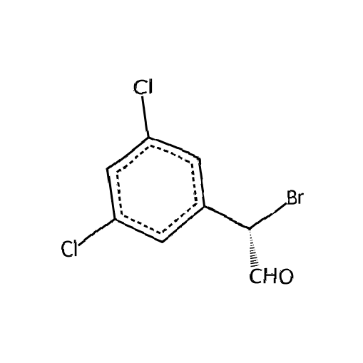 O=C[C@@H](Br)c1cc(Cl)cc(Cl)c1